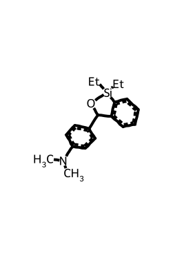 CC[Si]1(CC)OC(c2ccc(N(C)C)cc2)c2ccccc21